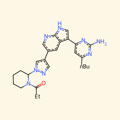 CCCCc1cc(-c2c[nH]c3ncc(-c4cnn(C5CCCCN5C(=O)CC)c4)cc23)nc(N)n1